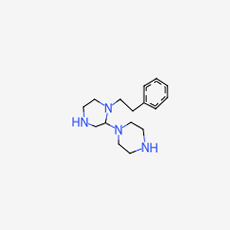 c1ccc(CCN2CCNCC2N2CCNCC2)cc1